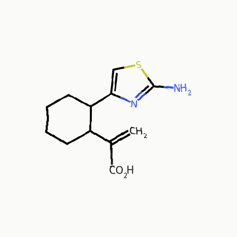 C=C(C(=O)O)C1CCCCC1c1csc(N)n1